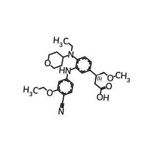 CCOc1cc(Nc2cc([C@@H](COC)CC(=O)O)ccc2N(CC)C2CCOCC2)ccc1C#N